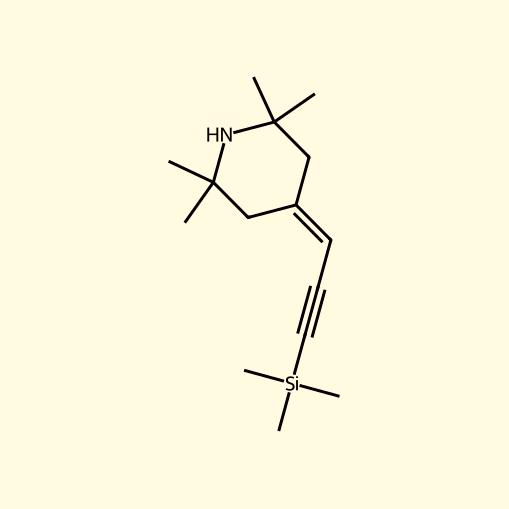 CC1(C)CC(=CC#C[Si](C)(C)C)CC(C)(C)N1